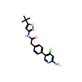 CC(C)(C)c1cc(NC(=O)Cc2ccc(-c3cnc(N)cc3Cl)cc2)no1